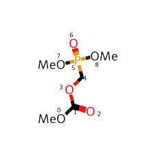 COC(=O)OCP(=O)(OC)OC